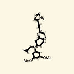 COc1cc(OC)cc(N(CC2CC2)c2ccc3ncc(C#Cc4cncn4C)nc3c2)c1